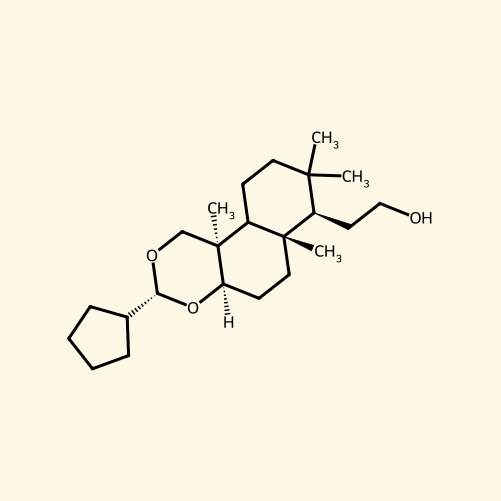 CC1(C)CCC2[C@]3(C)CO[C@@H](C4CCCC4)O[C@@H]3CC[C@@]2(C)[C@@H]1CCO